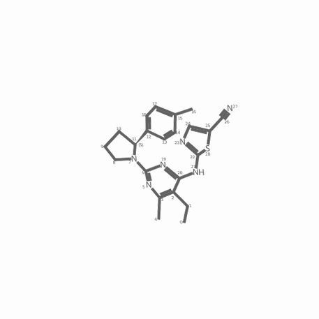 CCc1c(C)nc(N2CCC[C@H]2c2ccc(C)cc2)nc1Nc1ncc(C#N)s1